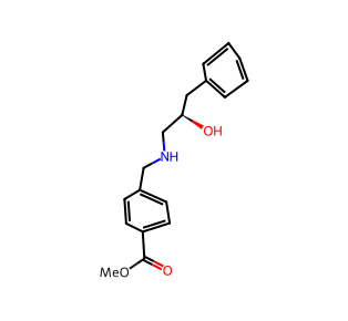 COC(=O)c1ccc(CNC[C@H](O)Cc2ccccc2)cc1